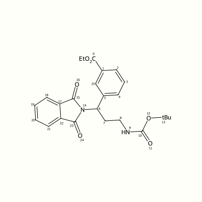 CCOC(=O)c1cccc(C(CCNC(=O)OC(C)(C)C)N2C(=O)c3ccccc3C2=O)c1